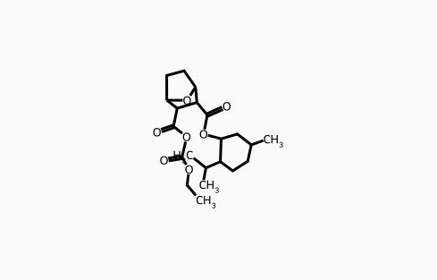 CCOC(=O)OC(=O)C1C2CCC(O2)C1C(=O)OC1CC(C)CCC1C(C)C